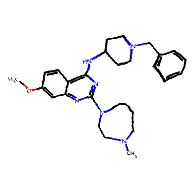 COc1ccc2c(NC3CCN(Cc4ccccc4)CC3)nc(N3CCCN(C)CC3)nc2c1